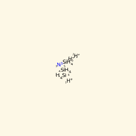 [H+].[H+].[H+].[N-3].[SiH4].[SiH4].[SiH4]